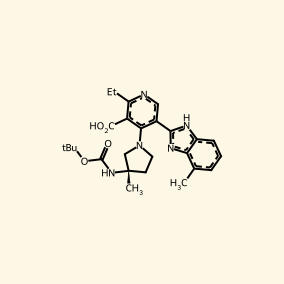 CCc1ncc(-c2nc3c(C)cccc3[nH]2)c(N2CC[C@](C)(NC(=O)OC(C)(C)C)C2)c1C(=O)O